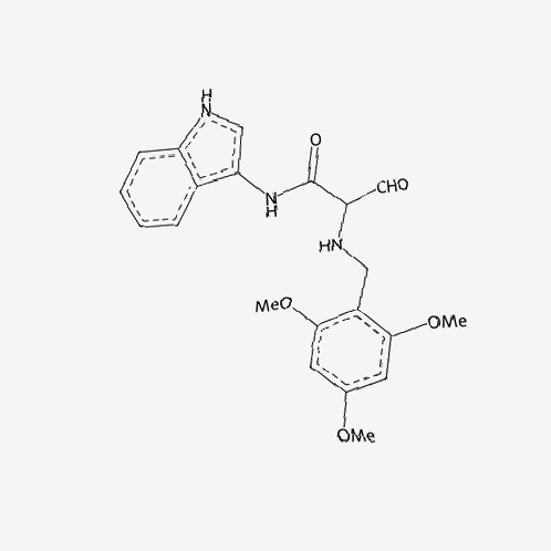 COc1cc(OC)c(CNC(C=O)C(=O)Nc2c[nH]c3ccccc23)c(OC)c1